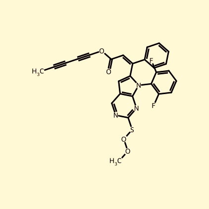 CC#CC#COC(=O)/C=C(/c1ccccc1)c1cc2cnc(SOOC)nc2n1-c1c(F)cccc1F